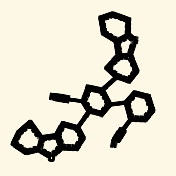 N#Cc1cc(-c2ccc3sc4ccccc4c3c2)c(-c2ccccc2C#N)cc1-c1ccc2oc3ccccc3c2c1